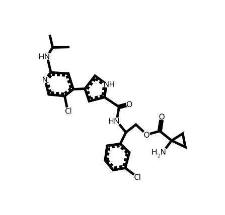 CC(C)Nc1cc(-c2c[nH]c(C(=O)NC(COC(=O)C3(N)CC3)c3cccc(Cl)c3)c2)c(Cl)cn1